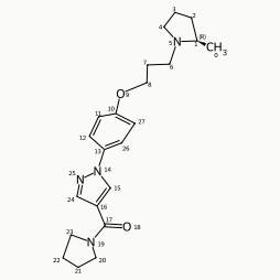 C[C@@H]1CCCN1CCCOc1ccc(-n2cc(C(=O)N3CCCC3)cn2)cc1